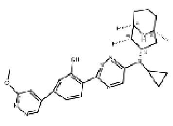 COc1cc(-c2ccc(-c3ncc(N(C4CC4)[C@H]4C[C@]5(C)CCC[C@@H](N5)[C@H]4F)nn3)c(O)c2)cnn1